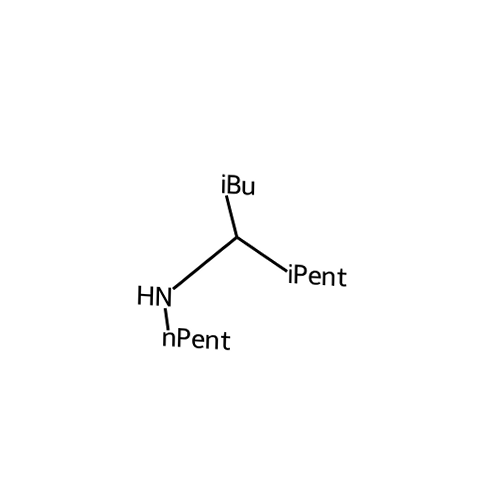 CCCCCNC(C(C)CC)C(C)CCC